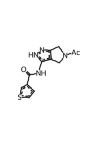 CC(=O)N1Cc2n[nH]c(NC(=O)c3ccsc3)c2C1